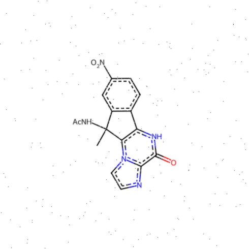 CC(=O)NC1(C)c2cc([N+](=O)[O-])ccc2-c2[nH]c(=O)c3nccn3c21